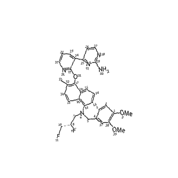 COc1ccc(CN(CC(F)CF)c2cccc3c(Oc4ncccc4-c4ccnc(N)n4)c(C)ccc23)cc1OC